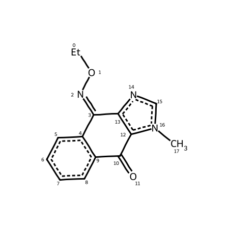 CCON=C1c2ccccc2C(=O)c2c1ncn2C